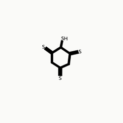 S=C1CC(=S)C(S)C(=S)C1